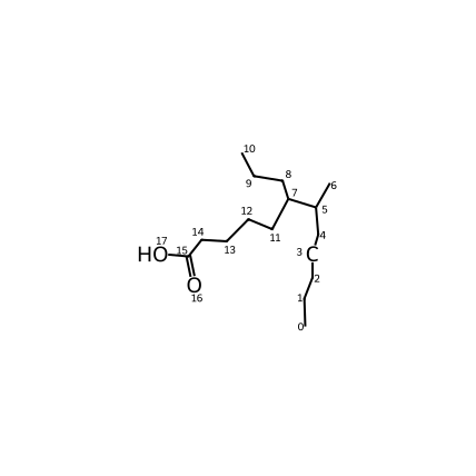 CCCCCC(C)C(CCC)CCCCC(=O)O